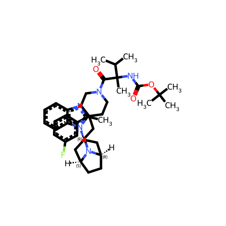 Cc1nc2ccccc2n1[C@H]1C[C@H]2CC[C@@H](C1)N2CCC1(c2cccc(F)c2)CCN(C(=O)C(C)(NC(=O)OC(C)(C)C)C(C)C)CC1